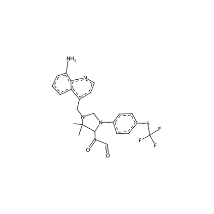 CC1(C)C(C(=O)C=O)N(c2ccc(SC(F)(F)F)cc2)CN1Cc1ccnc2c(N)cccc12